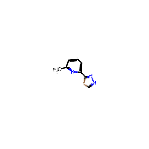 FC(F)(F)c1cccc(-c2nncs2)n1